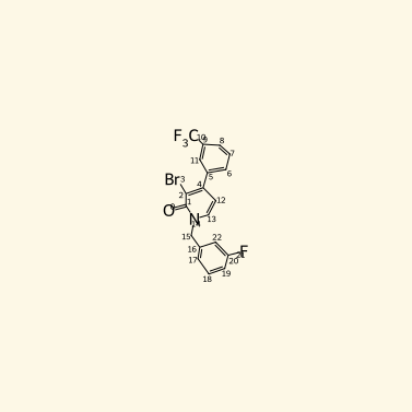 O=c1c(Br)c(-c2cccc(C(F)(F)F)c2)ccn1Cc1cccc(F)c1